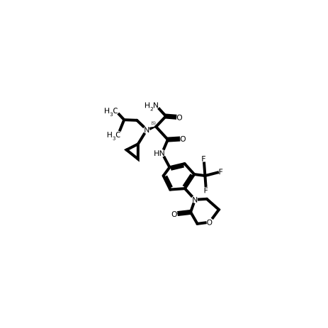 CC(C)CN(C1CC1)[C@@H](C(N)=O)C(=O)Nc1ccc(N2CCOCC2=O)c(C(F)(F)F)c1